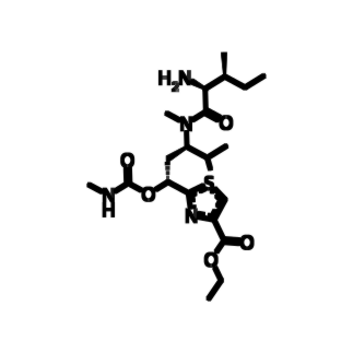 CCOC(=O)c1csc([C@@H](C[C@H](C(C)C)N(C)C(=O)[C@@H](N)[C@@H](C)CC)OC(=O)NC)n1